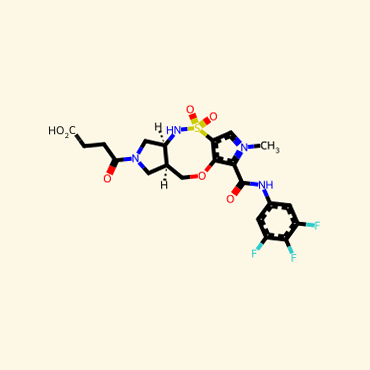 Cn1cc2c(c1C(=O)Nc1cc(F)c(F)c(F)c1)OC[C@H]1CN(C(=O)CCC(=O)O)C[C@H]1NS2(=O)=O